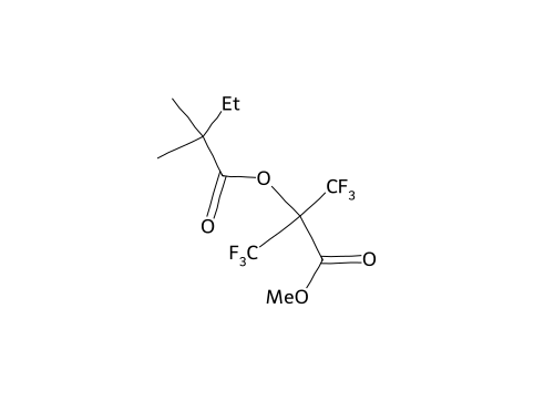 CCC(C)(C)C(=O)OC(C(=O)OC)(C(F)(F)F)C(F)(F)F